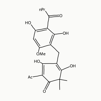 CCCC(=O)c1c(O)cc(OC)c(CC2=C(O)C(C)(C)C(=O)C(C(C)=O)=C2O)c1O